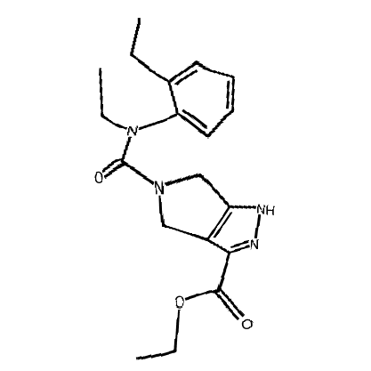 CCOC(=O)c1n[nH]c2c1CN(C(=O)N(CC)c1ccccc1CC)C2